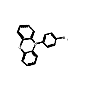 O=[N+]([O-])c1ccc(N2c3ccccc3Oc3ccccc32)cc1